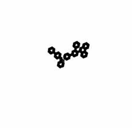 c1ccc(-c2ccc(N(c3ccccc3)c3ccc(-c4ccc(-c5cc6ccccc6c6ccccc56)c(-c5ccccc5)c4)cc3)cc2)cc1